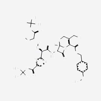 COc1ccc(COC(=O)C2=C(CCl)CS[C@H]3[C@H](NC(=O)/C(=N\O[C@H](SC)C(=O)OC(C)(C)C)c4nsc(C(=O)OC(C)(C)C)n4)C(=O)N23)cc1